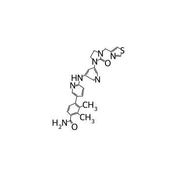 Cc1c(C(N)=O)ccc(-c2ccc(Nc3cncc(N4CCN(Cc5cscn5)C4=O)c3)nc2)c1C